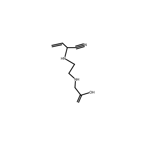 C=CC(C#N)NCCNCC(=C)O